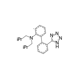 CC(C)CN(CC(C)C)c1[c]cccc1-c1ccccc1-c1nnn[nH]1